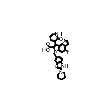 O=C(O)c1c(-c2ccc[nH]c2=O)c2c3occc3c(F)cc2n1Cc1ccc2[nH]c(N3CCCCC3)nc2c1